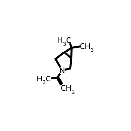 C=C(C)N1CC2C(C1)C2(C)C